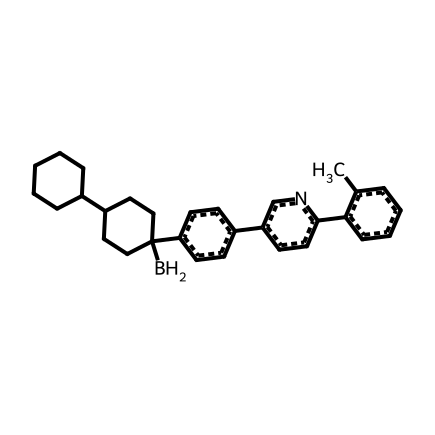 BC1(c2ccc(-c3ccc(-c4ccccc4C)nc3)cc2)CCC(C2CCCCC2)CC1